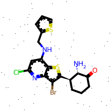 N[C@@H]1C(=O)CCC[C@H]1c1sc2c(NCc3cccs3)cc(Cl)nc2c1Br